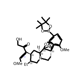 CC[C@@H]1CN2CC[C@@]34OCCO[C@@]3(Nc3c(B5OC(C)(C)C(C)(C)O5)ccc(OC)c34)[C@@H]2C[C@@H]1/C(=C\OC)C(=O)CO